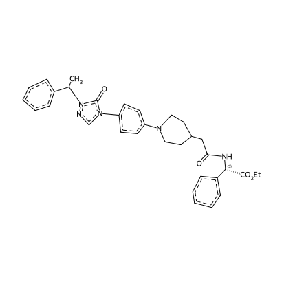 CCOC(=O)[C@@H](NC(=O)CC1CCN(c2ccc(-n3cnn(C(C)c4ccccc4)c3=O)cc2)CC1)c1ccccc1